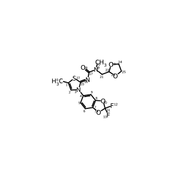 Cc1cn(-c2ccc3c(c2)OC(F)(F)O3)c(=NC(=O)N(C)CC2OCCO2)s1